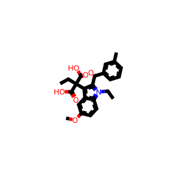 CCn1c(C(=O)c2cccc(C)c2)c(C(CC)(C(=O)O)C(=O)O)c2cc(OC)ccc21